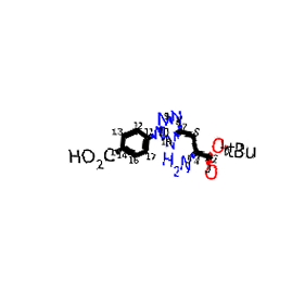 CC(C)(C)OC(=O)C(N)Cc1nnn(-c2ccc(C(=O)O)cc2)n1